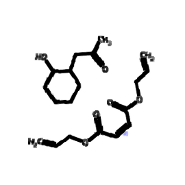 C=CCOC(=O)/C=C\C(=O)OCC=C.CC(=O)CC1CCCCC1O